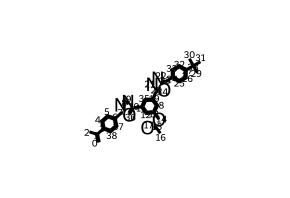 C=C(C)c1ccc(-c2nnc(-c3cc(OC(C)=O)cc(-c4nnc(-c5ccc(C(C)(C)C)cc5)o4)c3)o2)cc1